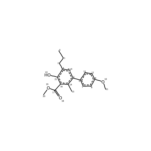 CCCc1nc(-c2ccc(OC)cc2)c(C)c(C(=O)OC)c1O